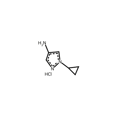 Cl.Nc1cnn(C2CC2)c1